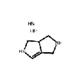 Br.Br.C1=C2CNCC2CN1